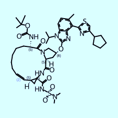 Cc1ccc2c(nc(O[C@@H]3C[C@H]4C(=O)N[C@]5(C(=O)NS(=O)(=O)N(C)C)C[C@H]5/C=C\CCCCC[C@H](NC(=O)OC(C)(C)C)C(=O)N4C3)n2C(C)C)c1-c1nc(C2CCCC2)cs1